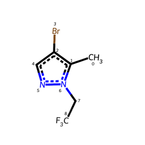 Cc1c(Br)cnn1CC(F)(F)F